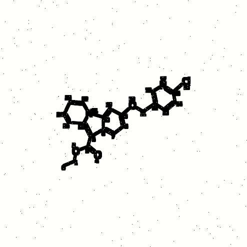 CCOC(=O)c1c2ccc(OCc3ccc(Cl)nc3)cc2n2ccccc12